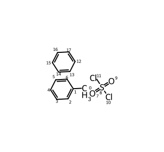 Cc1ccccc1.O=S(=O)(Cl)Cl.c1ccccc1